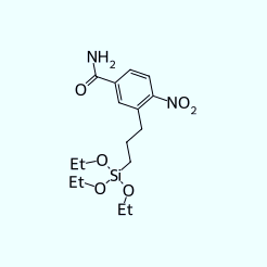 CCO[Si](CCCc1cc(C(N)=O)ccc1[N+](=O)[O-])(OCC)OCC